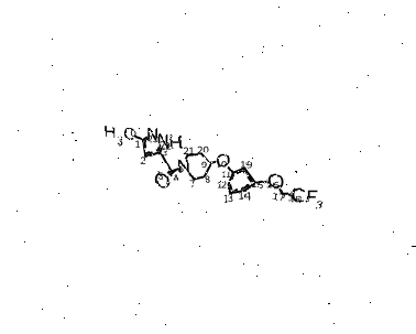 Cc1cc(C(=O)N2CCC(Oc3cccc(OCC(F)(F)F)c3)CC2)[nH]n1